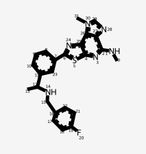 CNc1nc2sc(-c3cccc(C(C)NCc4ccc(F)cc4)c3)nc2c2c1ncn2C